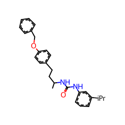 CC(CCc1ccc(OCc2ccccc2)cc1)NC(=O)Nc1cccc(C(C)C)c1